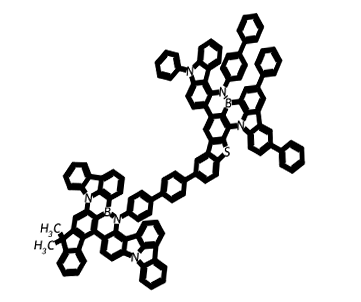 CC1(C)c2ccccc2-c2c1cc1c3c2-c2ccc4c(c2N(c2ccc(-c5ccc(-c6ccc7sc8c9c%10c(cc8c7c6)-c6ccc7c(c6N(c6ccc(-c8ccccc8)cc6)B%10c6cc(-c8ccccc8)cc8c%10cc(-c%11ccccc%11)ccc%10n-9c68)c6ccccc6n7-c6ccccc6)cc5)cc2)B3c2cccc3c5ccccc5n-1c23)c1cccc2c3ccccc3n4c21